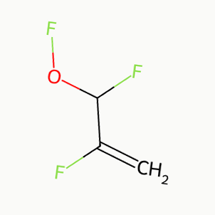 C=C(F)C(F)OF